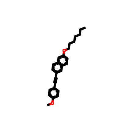 CCCCCCCOc1ccc2cc(C#Cc3ccc(OC)cc3)ccc2c1